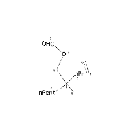 C=C.CCCCCC(C)(CCC)COC=O